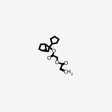 C=CC(=O)OCC(=O)OC1(C2CCCC2)CC2CCC1C2